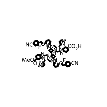 COC(=O)c1ccc2nc(CN3CCN(c4cccc(OCc5ccc(C#N)cc5F)n4)[C@H]4CC[C@H]43)n(Cc3ccn(C)n3)c2c1.Cn1ccc(Cn2c(CN3CCN(c4cccc(OCc5ccc(C#N)cc5F)n4)[C@H]4CC[C@H]43)nc3ccc(C(=O)O)cc32)n1